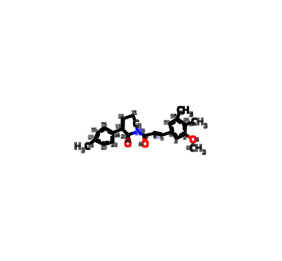 COc1cc(/C=C/C(=O)N2CCC=C(c3ccc(C)cc3)C2=O)cc(C)c1C